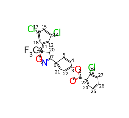 O=C(Oc1ccc(C2=NOC(c3cc(Cl)cc(Cl)c3)(C(F)(F)F)C2)cc1)c1ccccc1Cl